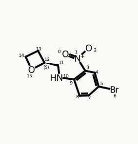 O=[N+]([O-])c1cc(Br)ccc1NC[C@@H]1CCO1